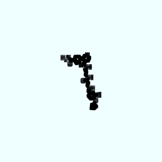 NC(=O)c1ccc2c(c1)nc(NCCCNC(=O)CCNCc1ccc(OC3CCCC3)c(Cl)c1)c1ccncc12